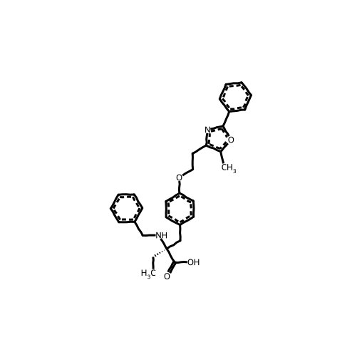 CC[C@@](Cc1ccc(OCCc2nc(-c3ccccc3)oc2C)cc1)(NCc1ccccc1)C(=O)O